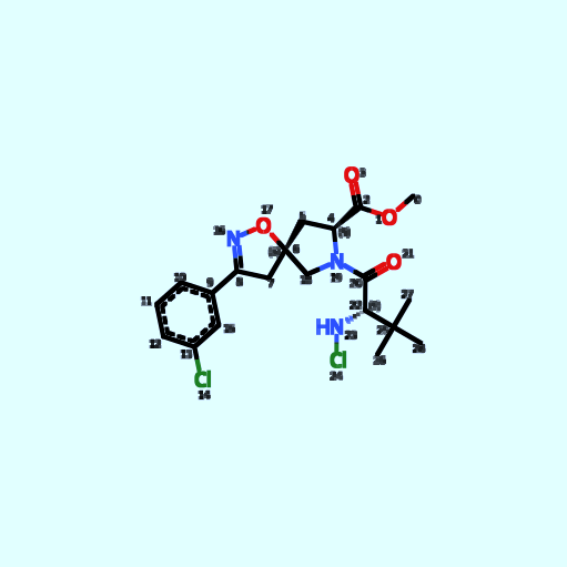 COC(=O)[C@@H]1C[C@]2(CC(c3cccc(Cl)c3)=NO2)CN1C(=O)[C@@H](NCl)C(C)(C)C